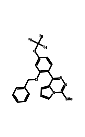 [2H]C([2H])([2H])Oc1ccc(-c2nnc(SC)n3cccc23)c(OCc2ccccc2)c1